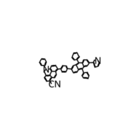 N#Cc1ccc2c3c1ccc1c(-c4ccc(-c5ccc6c(-c7ccccc7)c7cc(-c8cccnc8)ccc7c(-c7ccccc7)c6c5)cc4)ccc(c13)N(c1ccccc1)C2